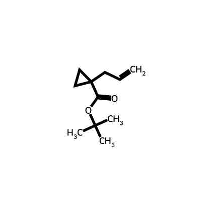 C=CCC1(C(=O)OC(C)(C)C)CC1